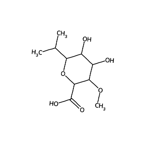 COC1C(C(=O)O)OC(C(C)C)C(O)C1O